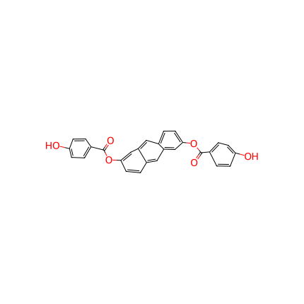 O=C(Oc1ccc2cc3cc(OC(=O)c4ccc(O)cc4)ccc3cc2c1)c1ccc(O)cc1